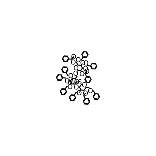 CS[C@H]1OC(COCc2ccccc2)[C@@H](OCc2ccccc2)[C@@H](OCc2ccccc2)C1O[C@H]1OC(CO[C@@H]2OC(COC(=O)c3ccccc3)[C@H](OC(=O)c3ccccc3)[C@H](OC(=O)c3ccccc3)C2OC(=O)c2ccccc2)[C@@H](OCc2ccccc2)[C@H](OCc2ccccc2)C1OCc1ccccc1